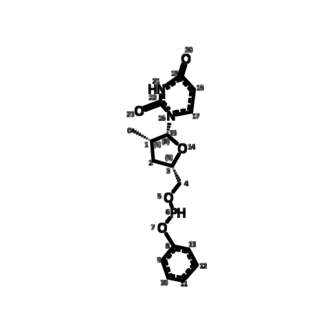 C[C@H]1C[C@@H](COPOc2ccccc2)O[C@H]1n1ccc(=O)[nH]c1=O